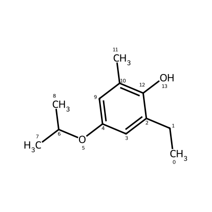 CCc1cc(OC(C)C)cc(C)c1O